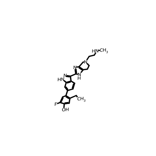 CCc1cc(O)c(F)cc1-c1ccc2c(-c3nc4c([nH]3)CCN(CCNC)C4)n[nH]c2c1